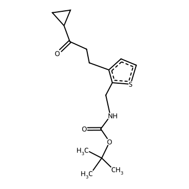 CC(C)(C)OC(=O)NCc1sccc1CCC(=O)C1CC1